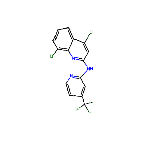 FC(F)(F)c1ccnc(Nc2cc(Cl)c3cccc(Cl)c3n2)c1